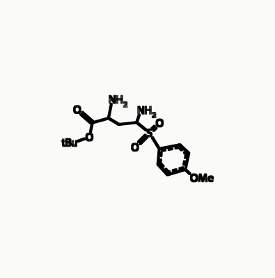 COc1ccc(S(=O)(=O)C(N)CC(N)C(=O)OC(C)(C)C)cc1